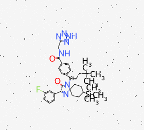 CC(C)(C)CC[C@H](c1ccc(C(=O)NCc2nn[nH]n2)cc1)N1C(=O)C(c2cccc(F)c2)=NC12CCC([Si](C)(C)C)CC2